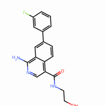 Nc1ncc(C(=O)NCCO)c2ccc(-c3cccc(F)c3)cc12